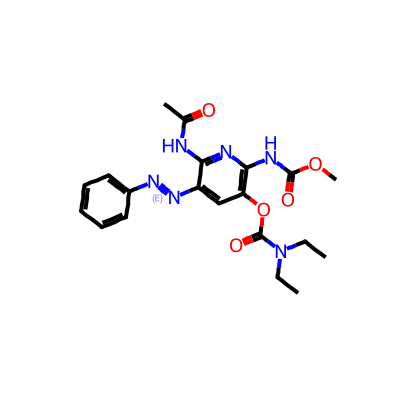 CCN(CC)C(=O)Oc1cc(/N=N/c2ccccc2)c(NC(C)=O)nc1NC(=O)OC